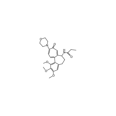 CCC(=O)NC1CCc2cc(OC)c(OC)c(OC)c2-c2ccc(N3CCOCC3)c(=O)cc21